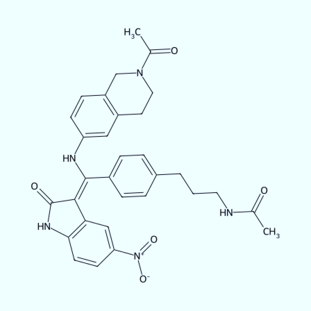 CC(=O)NCCCc1ccc(C(Nc2ccc3c(c2)CCN(C(C)=O)C3)=C2C(=O)Nc3ccc([N+](=O)[O-])cc32)cc1